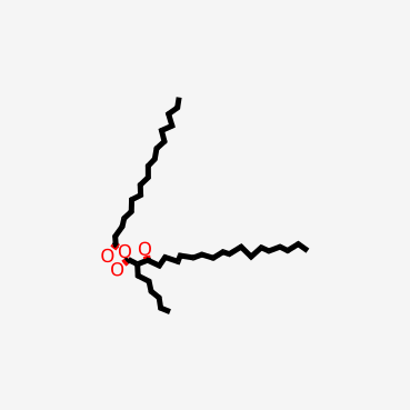 CCCCCCCCCCCCCCCCCC(=O)OC(=O)C(CCCCCC)C(=O)CCCCCCCCCCCCCCCCC